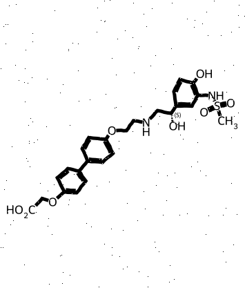 CS(=O)(=O)Nc1cc([C@H](O)CNCCOc2ccc(-c3ccc(OCC(=O)O)cc3)cc2)ccc1O